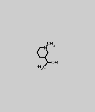 [CH2]C(O)C1CCCN(C)C1